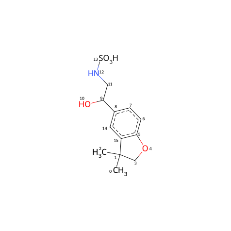 CC1(C)COc2ccc(C(O)CNS(=O)(=O)O)cc21